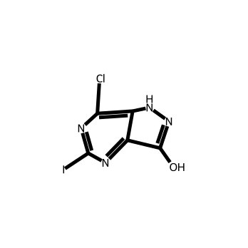 Oc1n[nH]c2c(Cl)nc(I)nc12